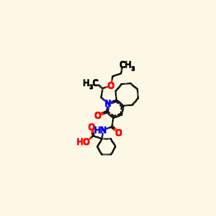 CCCOC(C)Cn1c2c(cc(C(=O)NC3(C(=O)O)CCCCC3)c1=O)CCCCCC2